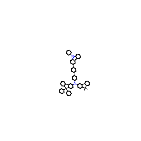 CC1(C)c2ccccc2-c2cc(N(c3ccc(-c4ccc(-c5ccc6c(c5)c5ccccc5n6-c5ccccc5)cc4)cc3)c3ccc4c(c3)-c3ccccc3C4(c3ccccc3)c3ccccc3)ccc21